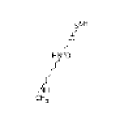 CCNCCCCCCCCNC(=O)CCCOCCSS